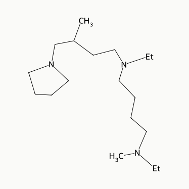 CCN(C)CCCCN(CC)CCC(C)CN1CCCC1